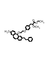 CCOC(=O)C(Cc1ccc(OCCOC2c3ccc(C)cc3C=Cc3ccc(CCc4ccccc4)cc32)cc1)OC